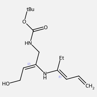 C=C/C=C(\CC)N/C(=C\CO)CNC(=O)OC(C)(C)C